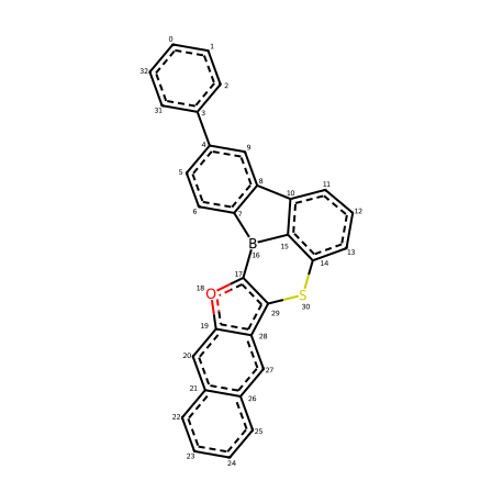 c1ccc(-c2ccc3c(c2)-c2cccc4c2B3c2oc3cc5ccccc5cc3c2S4)cc1